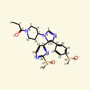 CCC(=O)N1CCC(n2cnc(-c3ccc([S+](C)[O-])cc3)c2-c2ccnc([S+](C)[O-])n2)CC1